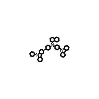 c1ccc(-n2c3ccccc3c3cc(-c4ccc(N(c5ccc(-n6c7ccccc7c7ccccc76)cc5)c5cccc6ccccc56)cc4)ccc32)cc1